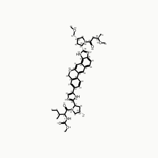 CCC(C)C(NC(=O)OC)C(=O)N1C[C@@H](C)CC1c1ncc(-c2ccc3c(c2)COc2cc4c(ccc5nc([C@@H]6C[C@H](COC)CN6C(=O)C[C@@H](C)OC)[nH]c54)cc2-3)[nH]1